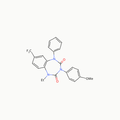 CCN1C(=O)N(c2ccc(OC)cc2)C(=O)N(c2ccccc2)c2cc(C(F)(F)F)ccc21